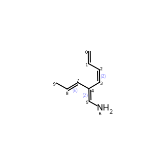 C=C\C=C/C(=C\N)/C=C/C